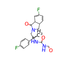 C[C@@](CN1CC2C=CC(F)=CC2C1=O)(NC(=O)NC=O)c1ccc(F)cc1